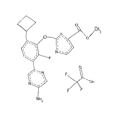 COC(=O)c1ccnc(Oc2c(C3CCC3)ccc(-c3cnc(N)cn3)c2F)n1.O=C(O)C(F)(F)F